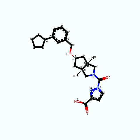 O=C(O)c1ccn(C(=O)N2C[C@H]3C[C@H](OCc4cccc(C5CCCC5)c4)C[C@H]3C2)n1